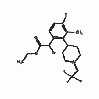 CCOC(=O)C(Br)c1ccc(F)c(C)c1C1CCN(CC(F)(F)F)CC1